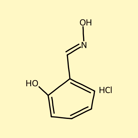 Cl.ON=Cc1ccccc1O